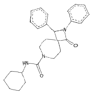 O=C(NC1CCCCC1)N1CCC2(CC1)C(=O)N(c1ccccc1)C2c1ccccc1